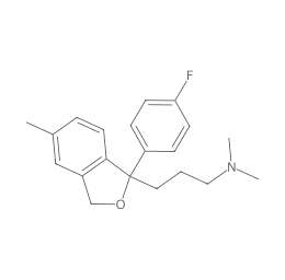 Cc1ccc2c(c1)COC2(CCCN(C)C)c1ccc(F)cc1